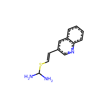 NC(N)S/C=C/c1cnc2ccccc2c1